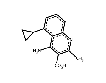 Cc1nc2cccc(C3CC3)c2c(N)c1C(=O)O